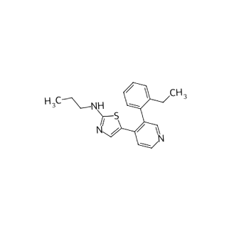 CCCNc1ncc(-c2ccncc2-c2ccccc2CC)s1